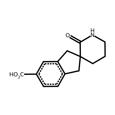 O=C(O)c1ccc2c(c1)CC1(CCCNC1=O)C2